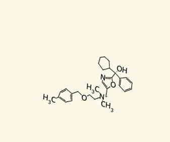 Cc1ccc(COCC[N+](C)(C)Cc2cnc([C@](O)(c3ccccc3)C3CCCCC3)o2)cc1